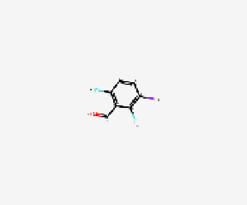 O=Cc1c(F)ccc(I)c1F